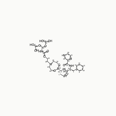 CC(C)C[C@@H](NC(=O)[C@H](Cc1ccccc1)NC(=O)c1cnccn1)B1OCCN(CCOC(=O)NC(OP(O)O)OP(O)O)CCO1